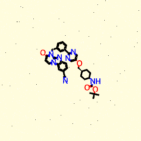 CC(C)(C)OC(=O)N[C@H]1CC[C@@H](COc2cnc(-c3cccc(Cn4c(=O)ccn5c6cc(C#N)ccc6nc45)c3)nc2)CC1